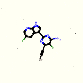 CC(C)C#Cc1nc(-c2c[nH]c3ncc(F)cc23)nc(N)c1F